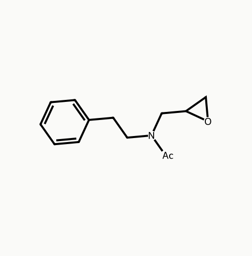 CC(=O)N(CCc1ccccc1)CC1CO1